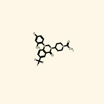 CC(=O)N1CCC(N2CN(c3ccc(F)cc3C)c3ccc(C(F)(F)F)cc3C2=O)CC1